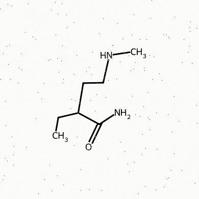 CCC(CCNC)C(N)=O